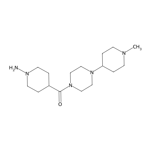 CN1CCC(N2CCN(C(=O)C3CCN(N)CC3)CC2)CC1